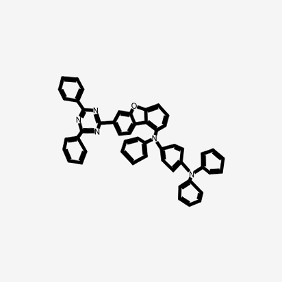 c1ccc(-c2nc(-c3ccccc3)nc(-c3ccc4c(c3)oc3cccc(N(c5ccccc5)c5ccc(N(c6ccccc6)c6ccccc6)cc5)c34)n2)cc1